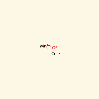 [Cr+3].[Mn+2].[O-2].[O-2]